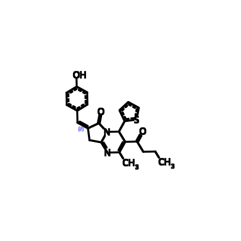 CCCC(=O)C1=C(C)N=C2C/C(=C/c3ccc(O)cc3)C(=O)N2C1c1cccs1